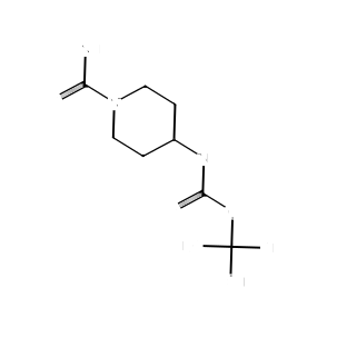 CC(C)(C)OC(=O)NC1CCN(C(N)=O)CC1